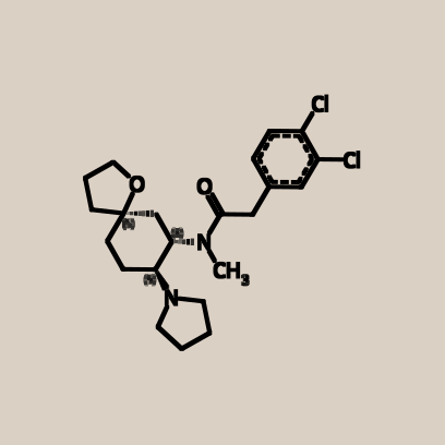 CN(C(=O)Cc1ccc(Cl)c(Cl)c1)[C@H]1C[C@@]2(CCCO2)CC[C@@H]1N1CCCC1